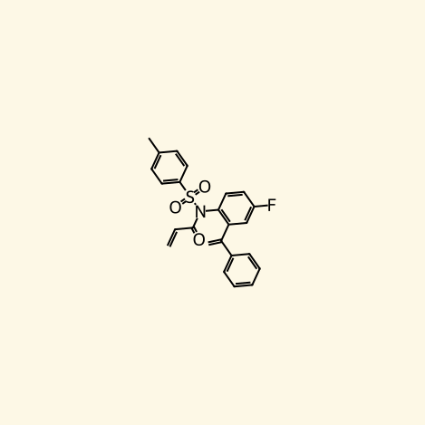 C=CC(=O)N(c1ccc(F)cc1C(=C)c1ccccc1)S(=O)(=O)c1ccc(C)cc1